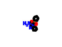 Nc1nc2ccccc2n1S(=O)(=O)c1ccccc1